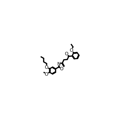 CCCCOc1cc(-c2nc(CCC(=O)c3ccccc3OCC)co2)ccc1OC